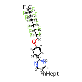 CCCCCCCc1cnc(-c2ccc(OCC(F)(F)C(F)(F)C(F)(F)C(F)(F)C(F)(F)C(F)(F)C(F)(F)F)cc2)nc1